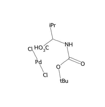 CC(C)C(NC(=O)OC(C)(C)C)C(=O)O.[Cl][Pd][Cl]